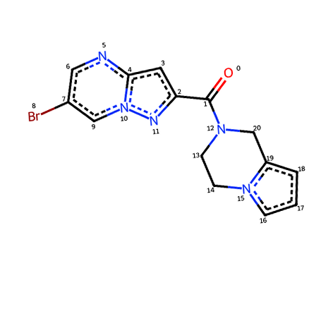 O=C(c1cc2ncc(Br)cn2n1)N1CCn2cccc2C1